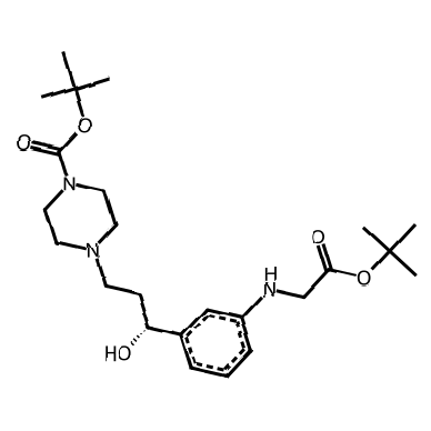 CC(C)(C)OC(=O)CNc1cccc([C@H](O)CCN2CCN(C(=O)OC(C)(C)C)CC2)c1